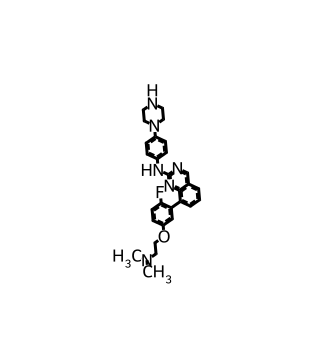 CN(C)CCOc1ccc(F)c(-c2cccc3cnc(Nc4ccc(N5CCNCC5)cc4)nc23)c1